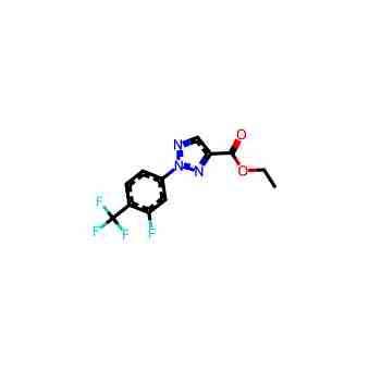 CCOC(=O)c1cnn(-c2ccc(C(F)(F)F)c(F)c2)n1